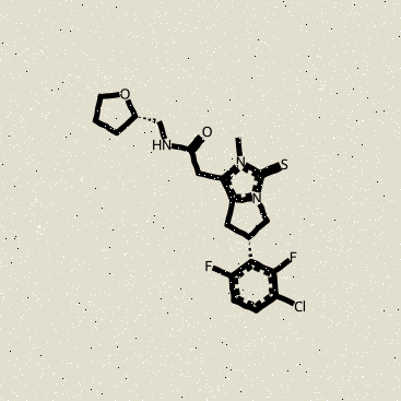 Cn1c(CC(=O)NC[C@@H]2CCCO2)c2n(c1=S)C[C@H](c1c(F)ccc(Cl)c1F)C2